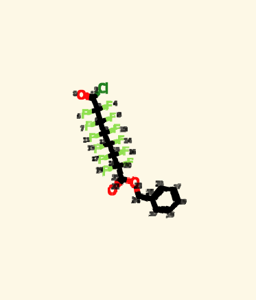 O=C(Cl)C(F)(F)C(F)(F)C(F)(F)C(F)(F)C(F)(F)C(F)(F)C(=O)OCc1ccccc1